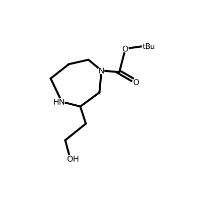 CC(C)(C)OC(=O)N1CCCNC(CCO)C1